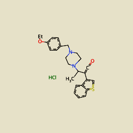 CCOc1ccc(CN2CCN(C(C)C(=C=O)c3csc4ccccc34)CC2)cc1.Cl